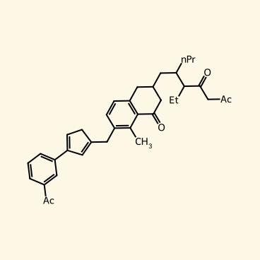 CCCC(CC1CC(=O)c2c(ccc(CC3=CC(c4cccc(C(C)=O)c4)=CC3)c2C)C1)C(CC)C(=O)CC(C)=O